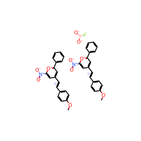 COc1ccc(/C=C/c2cc(-c3ccccc3)[o+]c([N+](=O)[O-])c2)cc1.COc1ccc(/C=C/c2cc(-c3ccccc3)[o+]c([N+](=O)[O-])c2)cc1.[O-]B([O-])F